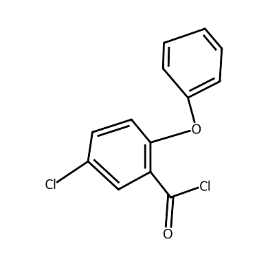 O=C(Cl)c1cc(Cl)ccc1Oc1ccccc1